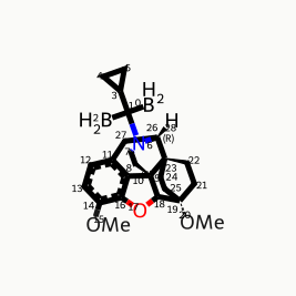 BC(B)(C1CC1)N1CC[C@]23c4c5ccc(OC)c4OC2[C@]2(OC)CC[C@]3(CC2)[C@H]1C5